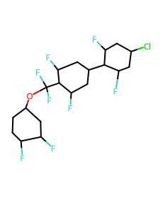 FC1CCC(OC(F)(F)C2C(F)CC(C3C(F)CC(Cl)CC3F)CC2F)CC1F